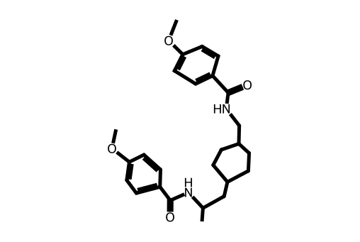 COc1ccc(C(=O)NCC2CCC(CC(C)NC(=O)c3ccc(OC)cc3)CC2)cc1